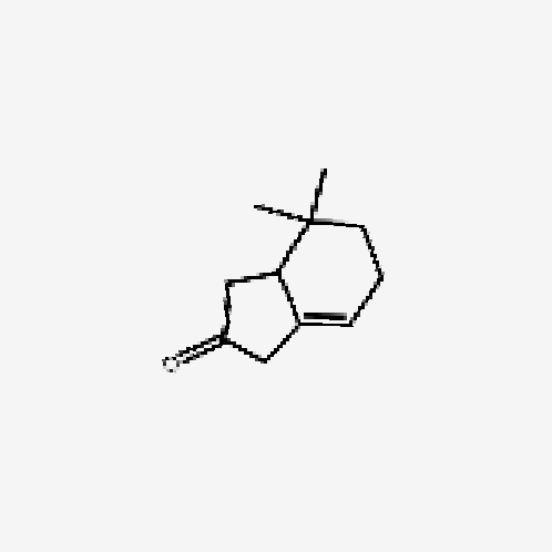 CC1(C)CCC=C2CC(=O)CC21